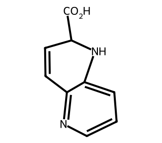 O=C(O)C1C=Cc2ncccc2N1